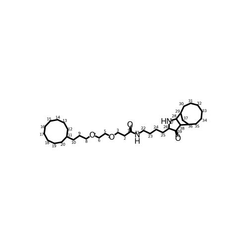 O=C(CCOCCOCCCC1CCCCCCCCC1)NCCCCC1NC2C3CCCCCCC(C3)C2C1=O